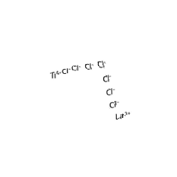 [Cl-].[Cl-].[Cl-].[Cl-].[Cl-].[Cl-].[Cl-].[La+3].[Ti+4]